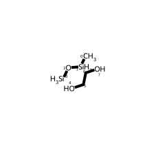 C[SiH2]O[SiH3].OCCO